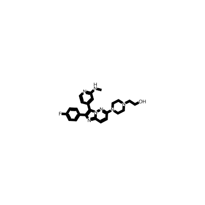 CNc1cc(-c2c(-c3ccc(F)cc3)nc3ccc(N4CCN(CCO)CC4)nn23)ccn1